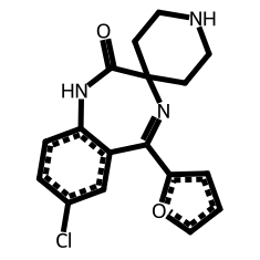 O=C1Nc2ccc(Cl)cc2C(c2ccco2)=NC12CCNCC2